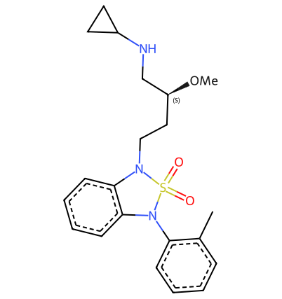 CO[C@@H](CCN1c2ccccc2N(c2ccccc2C)S1(=O)=O)CNC1CC1